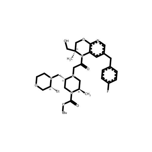 CC[C@@H]1COCCN1C[C@H]1CN(C(=O)OC(C)(C)C)[C@H](C)CN1CC(=O)N1c2cc(Cc3ccc(F)cc3)cnc2OC[C@]1(C)CO